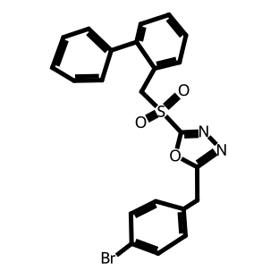 O=S(=O)(Cc1ccccc1-c1ccccc1)c1nnc(Cc2ccc(Br)cc2)o1